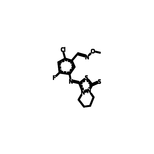 CON=Cc1cc(N=c2sc(=S)n3n2CCCC3)c(F)cc1Cl